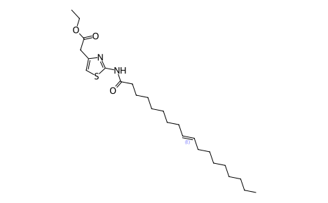 CCCCCCCC/C=C/CCCCCCCC(=O)Nc1nc(CC(=O)OCC)cs1